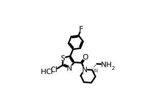 Cl.NC[C@@H]1CCCCN1C(=O)c1nc(Cl)sc1-c1ccc(F)cc1